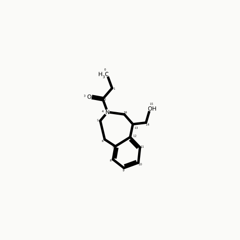 CCC(=O)N1CCc2ccccc2C(CO)C1